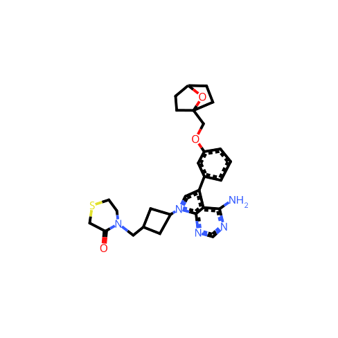 Nc1ncnc2c1c(-c1cccc(OCC34CCC(CC3)O4)c1)cn2C1CC(CN2CCSCC2=O)C1